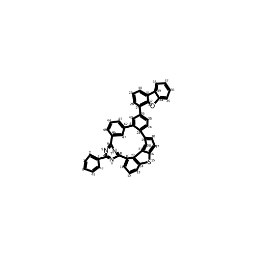 c1ccc(-c2nc3nc(n2)c2cccc4sc5ccc(cc5c42)c2ccc(-c4cccc5c4oc4ccccc45)cc2c2cccc3c2)cc1